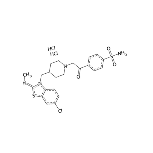 CN=c1sc2cc(Cl)ccc2n1CC1CCN(CC(=O)c2ccc(S(N)(=O)=O)cc2)CC1.Cl.Cl